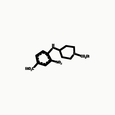 CCOC(=O)c1ccc(NC2CCN(C(=O)OCC)CC2)c([N+](=O)[O-])c1